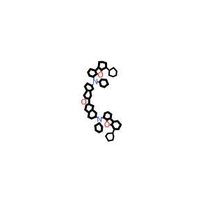 c1ccc(N(c2ccc3cc4oc5cc6ccc(N(c7ccccc7)c7cccc8c7oc7c(C9CCCCC9)cccc78)cc6cc5c4cc3c2)c2cccc3c2oc2c(C4CCCCC4)cccc23)cc1